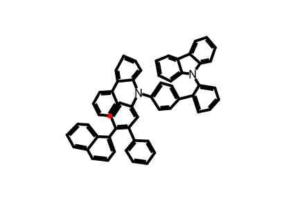 c1ccc(-c2cc(N(c3ccc(-c4ccccc4-n4c5ccccc5c5ccccc54)cc3)c3ccccc3-c3ccccc3)ccc2-c2cccc3ccccc23)cc1